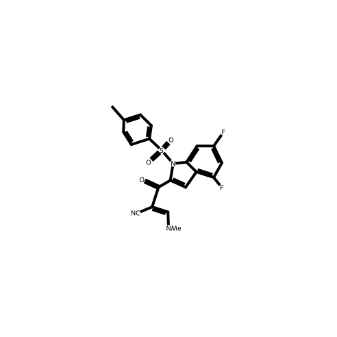 CNC=C(C#N)C(=O)c1cc2c(F)cc(F)cc2n1S(=O)(=O)c1ccc(C)cc1